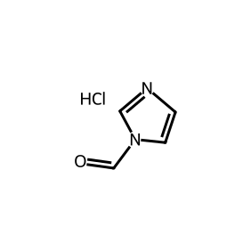 Cl.O=Cn1ccnc1